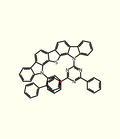 c1ccc(-c2nc(-c3ccccc3)nc(-n3c4ccccc4c4ccc5c6ccc7c8ccccc8n(-c8ccccc8-c8ccccc8)c7c6sc5c43)n2)cc1